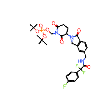 CC(C)(C)OP(=O)(OCN1C(=O)CCC(N2Cc3cc(CNC(=O)C(F)(F)c4ccc(F)cc4)ccc3C2=O)C1=O)OC(C)(C)C